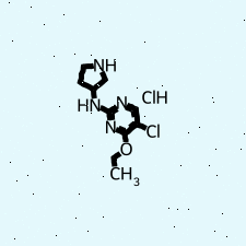 CCOc1nc(NC2CCNC2)ncc1Cl.Cl